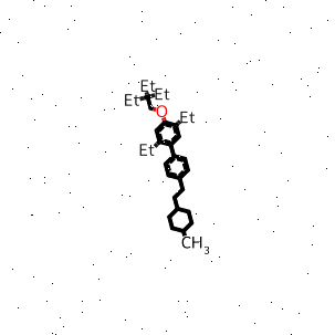 CCc1cc(-c2ccc(CCC3CCC(C)CC3)cc2)c(CC)cc1OCC(CC)(CC)CC